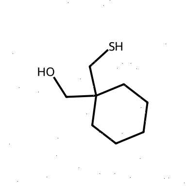 OCC1(CS)CCCCC1